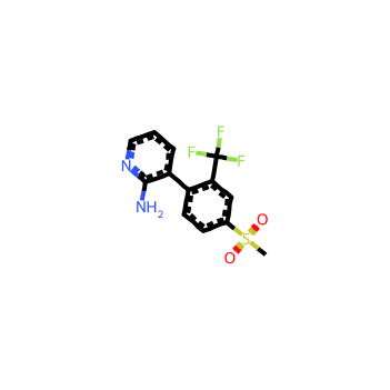 CS(=O)(=O)c1ccc(-c2cccnc2N)c(C(F)(F)F)c1